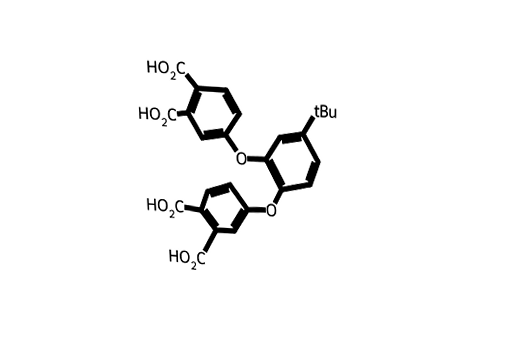 CC(C)(C)c1ccc(Oc2ccc(C(=O)O)c(C(=O)O)c2)c(Oc2ccc(C(=O)O)c(C(=O)O)c2)c1